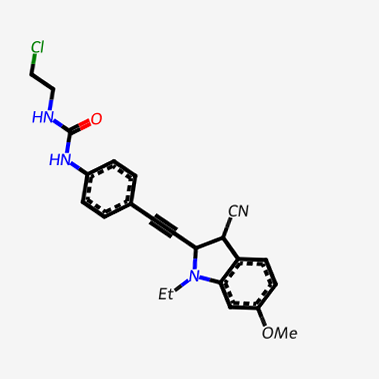 CCN1c2cc(OC)ccc2C(C#N)C1C#Cc1ccc(NC(=O)NCCCl)cc1